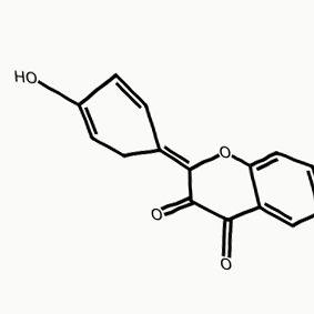 O=C1C(=O)c2ccccc2OC1=C1C=CC(O)=CC1